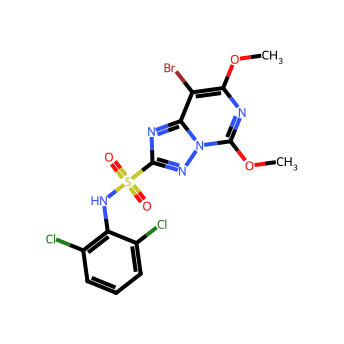 COc1nc(OC)n2nc(S(=O)(=O)Nc3c(Cl)cccc3Cl)nc2c1Br